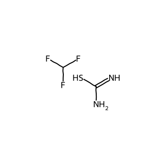 FC(F)F.N=C(N)S